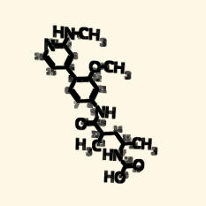 CNc1cc(-c2ccc(NC(=O)C(C)CC(C)NC(=O)O)cc2OC)ccn1